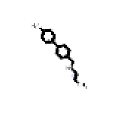 C/C=C/NCc1ccc(-c2ccc(C)cc2)cc1